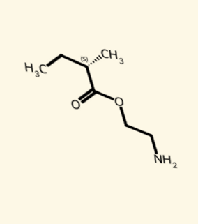 CC[C@H](C)C(=O)OCCN